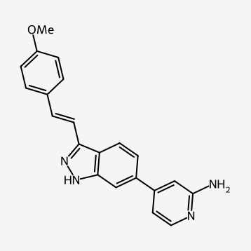 COc1ccc(C=Cc2n[nH]c3cc(-c4ccnc(N)c4)ccc23)cc1